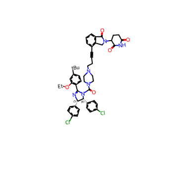 CCOc1cc(C(C)(C)C)ccc1C1=N[C@@H](c2ccc(Cl)cc2)[C@@H](c2ccc(Cl)cc2)N1C(=O)N1CCN(CCC#Cc2cccc3c2CN(C2CCC(=O)NC2=O)C3=O)CC1